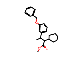 COC(=O)C(C1CCCCC1)C(C)c1cccc(OCc2ccccc2)c1